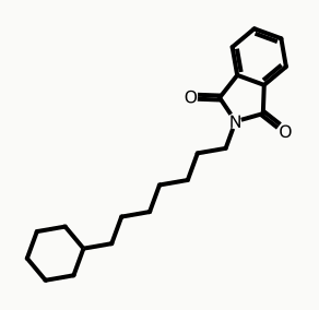 O=C1c2ccccc2C(=O)N1CCCCCCCC1CCCCC1